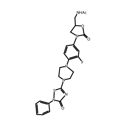 CC(=O)NCC1CN(c2ccc(N3CCN(c4nc(=O)n(-c5ccccc5)s4)CC3)c(F)c2)C(=O)O1